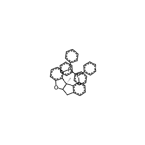 C[C@]12c3c(cccc3P(c3ccccc3)c3ccccc3)CC1Oc1cccc(P(c3ccccc3)c3ccccc3)c12